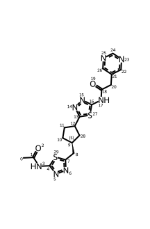 CC(=O)Nc1nnc(C[C@H]2CCC(c3nnc(NC(=O)Cc4cncnc4)s3)C2)s1